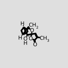 C=C1CC[C@H]2C[C@@H]1[C@@]21CO[C@]2(C=C(C)C(=O)O2)[C@H]1O